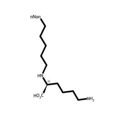 CCCCCCCCCCCCCCN[C@@H](CCCCN)C(=O)O